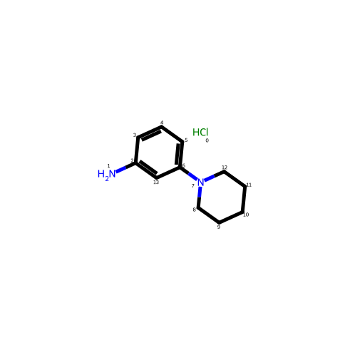 Cl.Nc1cccc(N2CCCCC2)c1